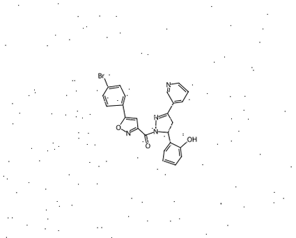 O=C(c1cc(-c2ccc(Br)cc2)on1)N1N=C(c2cccnc2)CC1c1ccccc1O